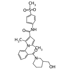 Cc1cc(C(=O)Nc2ccc(S(C)(=O)=O)cc2)c(C)n1-c1ccccc1C(=O)N1CCCC(CO)C1